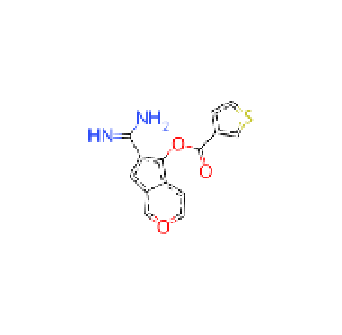 N=C(N)c1cc2coccc-2c1OC(=O)c1ccsc1